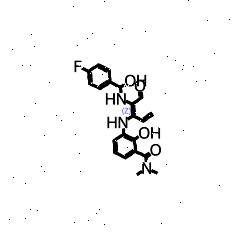 C=C/C(Nc1cccc(C(=O)N(C)C)c1O)=C(\C=O)NC(O)c1ccc(F)cc1